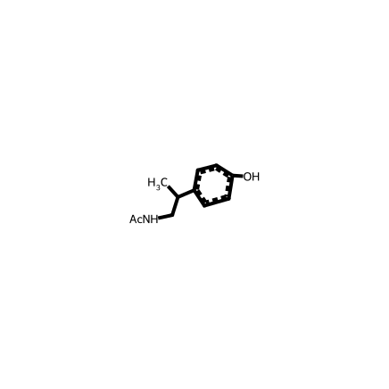 CC(=O)NCC(C)c1ccc(O)cc1